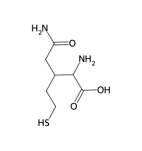 NC(=O)CC(CCS)C(N)C(=O)O